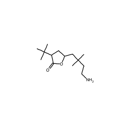 CC(C)(CCN)CC1CC(C(C)(C)C)C(=O)O1